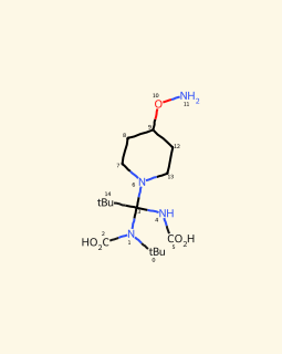 CC(C)(C)N(C(=O)O)C(NC(=O)O)(N1CCC(ON)CC1)C(C)(C)C